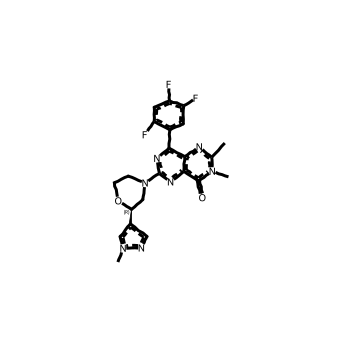 Cc1nc2c(-c3cc(F)c(F)cc3F)nc(N3CCO[C@H](c4cnn(C)c4)C3)nc2c(=O)n1C